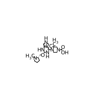 CN1CCC[C@H]1COC1NC2CNCC2C(N2CCN(C(=O)O)CC2(C)C)N1